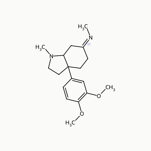 C/N=C1/CCC2(c3ccc(OC)c(OC)c3)CCN(C)C2C1